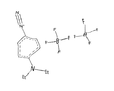 CCN(CC)c1ccc([N+]#N)cc1.F[B-](F)(F)F.F[B-](F)(F)F